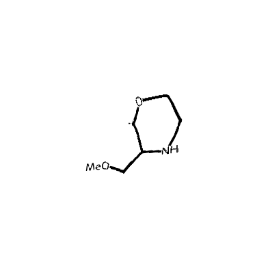 COCC1[CH]OCCN1